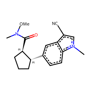 CON(C)C(=O)[C@@H]1CCC[C@H]1c1ccc2c(c1)c(C#N)cn2C